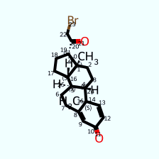 C[C@]12CC[C@H]3[C@@H](CCC4=CC(=O)C=C[C@@]43C)[C@@H]1CC[C@@H]2C(=O)CBr